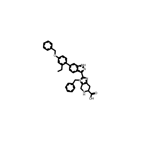 CCc1cc(OCc2ccccc2)ccc1-c1ccc2c(-c3nc4c(n3Cc3ccccc3)CNC(C(=O)O)C4)n[nH]c2c1